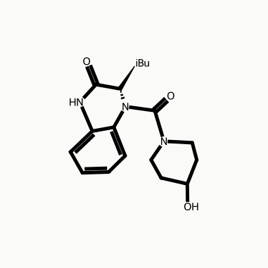 CC[C@H](C)[C@H]1C(=O)Nc2ccccc2N1C(=O)N1CCC(O)CC1